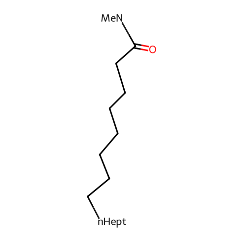 [CH2]NC(=O)CCCCCCCCCCCCCC